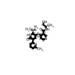 Cc1cccc(-c2cc(Nc3ccncc3C(=O)N[C@@H](C)CO)c(N(C)C)[nH]c2=O)n1